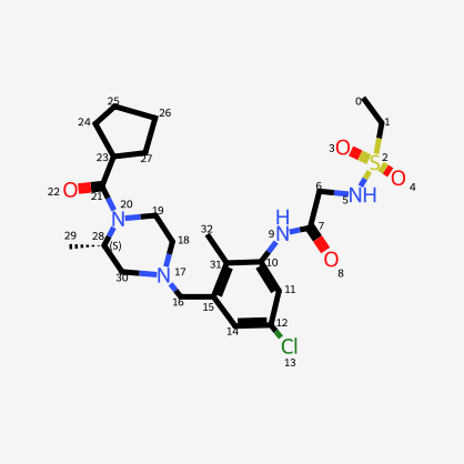 CCS(=O)(=O)NCC(=O)Nc1cc(Cl)cc(CN2CCN(C(=O)C3CCCC3)[C@@H](C)C2)c1C